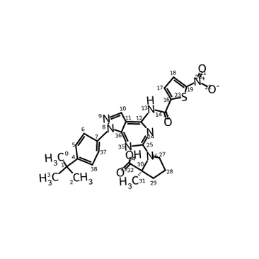 CC(C)(C)c1ccc(-n2ncc3c(NC(=O)c4ccc([N+](=O)[O-])s4)nc(N4CCC[C@@]4(C)C(=O)O)nc32)cc1